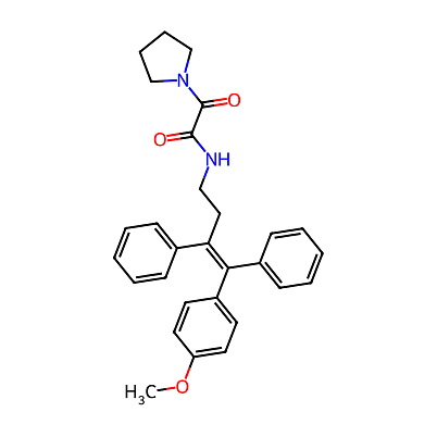 COc1ccc(C(=C(CCNC(=O)C(=O)N2CCCC2)c2ccccc2)c2ccccc2)cc1